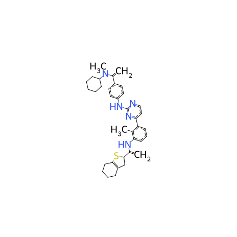 C=C(Nc1cccc(-c2ccnc(Nc3ccc(C(=C)N(C)C4CCCCC4)cc3)n2)c1C)C1CC2=C(CCCC2)S1